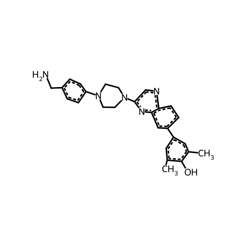 Cc1cc(-c2ccc3ncc(N4CCN(c5ccc(CN)cc5)CC4)nc3c2)cc(C)c1O